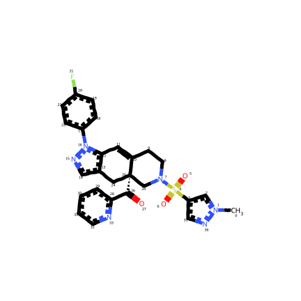 Cn1cc(S(=O)(=O)N2CCC3=Cc4c(cnn4-c4ccc(F)cc4)C[C@]3(C(=O)c3ccccn3)C2)cn1